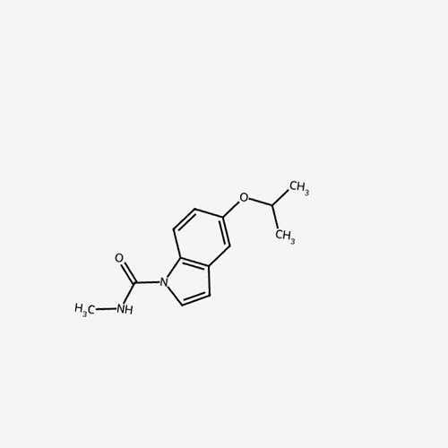 CNC(=O)n1ccc2cc(OC(C)C)ccc21